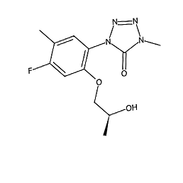 Cc1cc(-n2nnn(C)c2=O)c(OC[C@H](C)O)cc1F